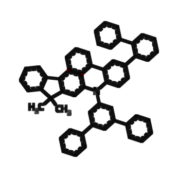 CC1(C)c2ccccc2-c2ccc(N(c3cc(-c4ccccc4)cc(-c4ccccc4)c3)c3ccc(-c4ccccc4-c4ccccc4)cc3-c3ccccc3)cc21